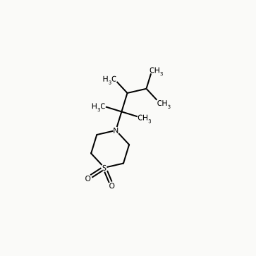 CC(C)C(C)C(C)(C)N1CCS(=O)(=O)CC1